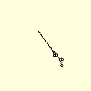 CCCCCCCCCCCCCCCCCCNC(=O)OCCC1(C)Nc2cccc3c(/N=N/c4ccc(/N=N/c5ccccc5)c5ccccc45)ccc(c23)N1